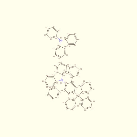 c1ccc(-c2cc([Si](c3ccccc3)(c3ccccc3)c3ccccc3)cc(-c3ccccc3)c2-n2c3ccccc3c3cc(-c4ccc5c(c4)c4ccccc4n5-c4ccccc4)ccc32)cc1